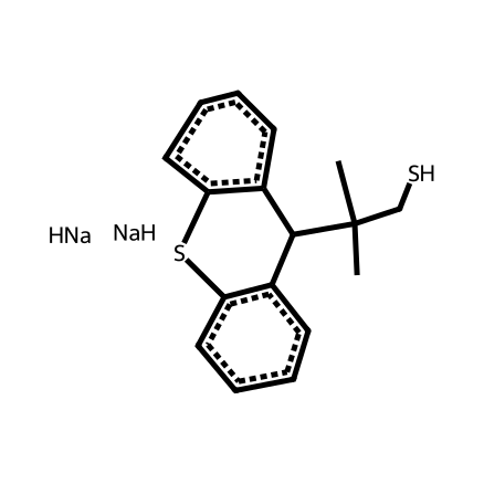 CC(C)(CS)C1c2ccccc2Sc2ccccc21.[NaH].[NaH]